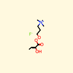 CC=C(O)C(=O)OOCCC[N+](C)(C)C.[F-]